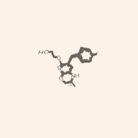 C[C@H]1COc2nc(OCCO)c(Cc3ccc(F)cc3)cc2N1